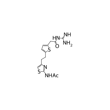 CC(=O)Nc1nc(CCc2ccc(CC(=O)NC(=N)N)s2)cs1